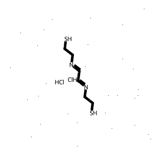 Cl.Cl.SCCN=CC=NCCS